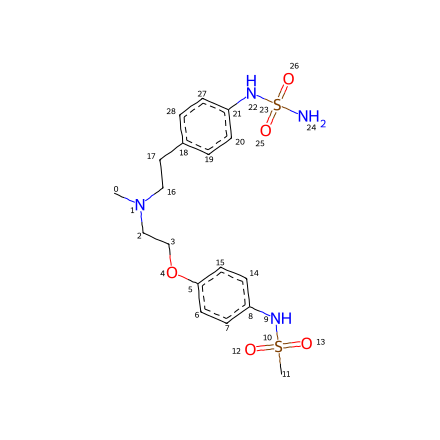 CN(CCOc1ccc(NS(C)(=O)=O)cc1)CCc1ccc(NS(N)(=O)=O)cc1